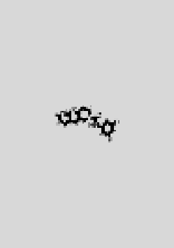 O=C(Nc1cc(F)cc(F)c1)N1CCc2nc3ncccc3cc2C1